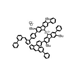 CC(C)(C)c1cc2c(cc1-c1ccccc1)[CH]([Zr+2][CH]1c3cc(-c4ccccc4)c(C(C)(C)C)cc3-c3cc(C(C)(C)C)c(-c4ccc(C5=CC=CC5=Cc5cccc(-c6ccccc6)c5)cc4)cc31)c1cc(-c3ccc(C4=CC=CC4=Cc4cccc(-c5ccccc5)c4)cc3)c(C(C)(C)C)cc1-2.[Cl-].[Cl-]